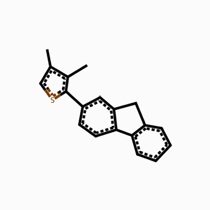 Cc1csc(-c2[c]c3c(cc2)-c2ccccc2C3)c1C